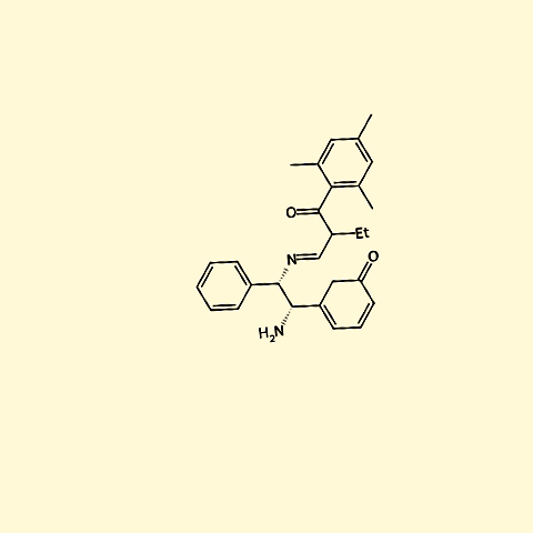 CCC(C=N[C@@H](c1ccccc1)[C@@H](N)C1=CC=CC(=O)C1)C(=O)c1c(C)cc(C)cc1C